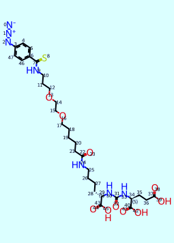 [N-]=[N+]=Nc1ccc(C(=S)NCCCOCCOCCCCCC(=O)NCCCC[C@H](NC(=O)N[C@@H](CCC(=O)O)C(=O)O)C(=O)O)cc1